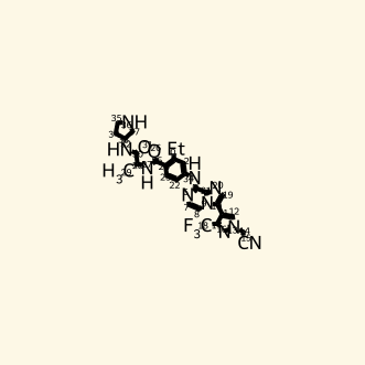 CCc1cc(Nc2nccn3c(-c4cn(CC#N)nc4C(F)(F)F)cnc23)ccc1C(=O)NC(C)C(=O)N[C@@H]1CCNC1